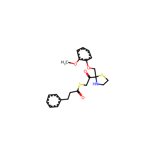 COc1ccccc1OCC1(C(=O)CSC(=O)CCc2ccccc2)NCCS1